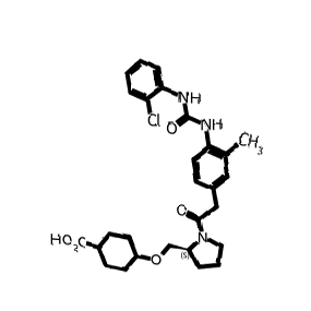 Cc1cc(CC(=O)N2CCC[C@H]2COC2CCC(C(=O)O)CC2)ccc1NC(=O)Nc1ccccc1Cl